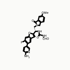 COc1ccc2c(c1)C(=O)N(C[C@H](NC(=O)NC=O)c1cc3cc(-c4ccc(N)nc4)c(F)cc3o1)C2